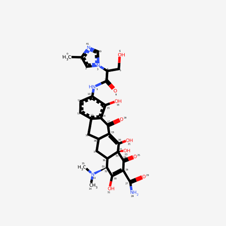 Cc1cn(C(CO)C(=O)Nc2ccc3c(c2O)C(=O)C2=C(O)[C@]4(O)C(=O)C(C(N)=O)=C(O)[C@@H](N(C)C)C4CC2C3)cn1